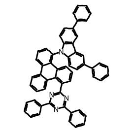 c1ccc(-c2ccc3c(c2)c2cc(-c4ccccc4)ccc2n3-c2cccc3c4ccccc4c4c(-c5nc(-c6ccccc6)nc(-c6ccccc6)n5)cccc4c23)cc1